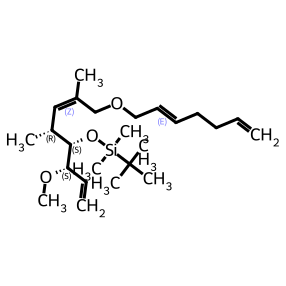 C=CCC/C=C/COC/C(C)=C\[C@@H](C)[C@H](O[Si](C)(C)C(C)(C)C)[C@H](C=C)OC